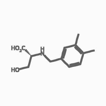 Cc1ccc(CN[C@H](CO)C(=O)O)cc1C